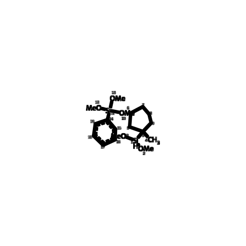 CO[SiH](OC)C1(C)CCCCC1.CO[Si](OC)(OC)c1ccccc1